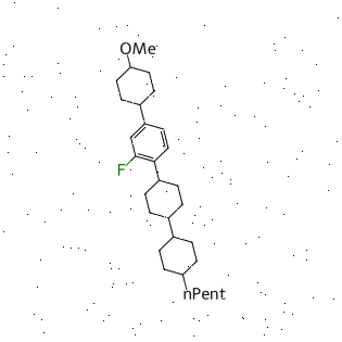 CCCCCC1CCC(C2CCC(c3ccc(C4CCC(OC)CC4)cc3F)CC2)CC1